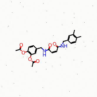 CC(=O)Oc1ccc(CNC(=O)/C=C\C(=O)NCc2ccc(C)c(C)c2)cc1OC(C)=O